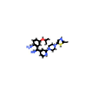 Cc1ncc(N2CCN(c3cc(C(=N)c4cc(OC(C)C)ccc4N)ccn3)CC2)s1